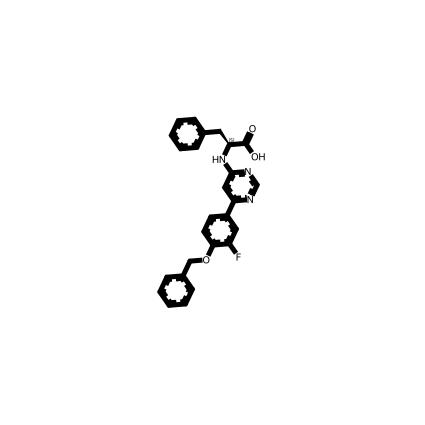 O=C(O)[C@H](Cc1ccccc1)Nc1cc(-c2ccc(OCc3ccccc3)c(F)c2)ncn1